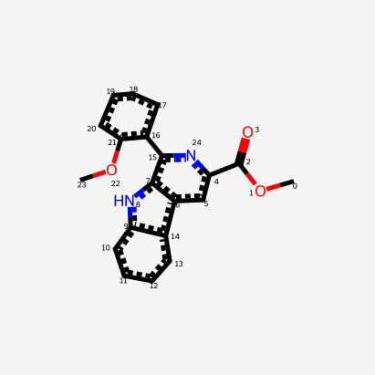 COC(=O)c1cc2c([nH]c3ccccc32)c(-c2ccccc2OC)n1